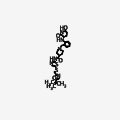 CC(C)(C)c1cnc(CSc2cnc(NC(=O)C3CCN(Cc4ccccc4NC4CCC(=O)NC4=O)CC3)s2)o1